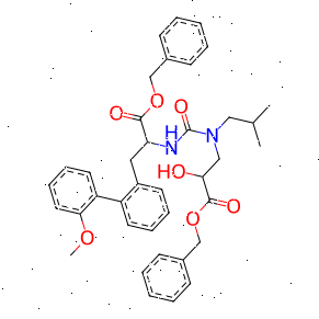 COc1ccccc1-c1ccccc1CC(NC(=O)N(CC(C)C)CC(O)C(=O)OCc1ccccc1)C(=O)OCc1ccccc1